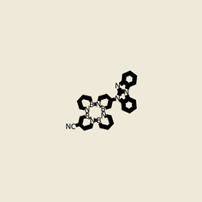 N#CC1=CB2N(C=C1)B1C=CC=CN1B1C=C(n3c4ccccc4n4c5ccccc5nc34)C=CN1B1C=CC=CN12